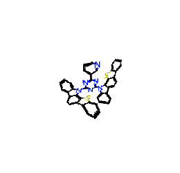 c1cncc(-c2nc(-n3c4ccccc4c4ccc5c6ccccc6sc5c43)nc(-n3c4ccccc4c4ccc5c6ccccc6sc5c43)n2)c1